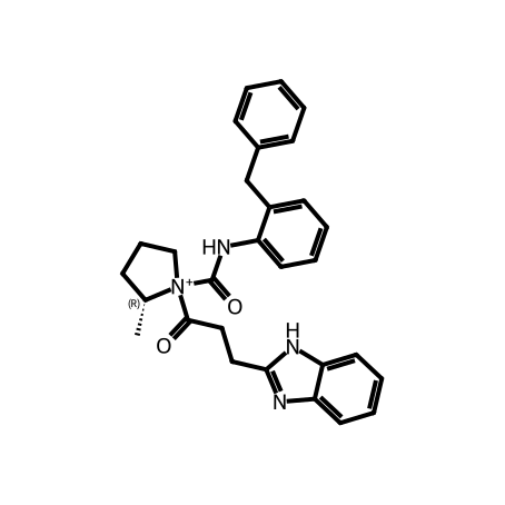 C[C@@H]1CCC[N+]1(C(=O)CCc1nc2ccccc2[nH]1)C(=O)Nc1ccccc1Cc1ccccc1